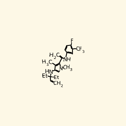 C=CC(CC)(CC)Nc1cn(C)c(C(=C)Nc2ccc(F)c(C(F)(F)F)c2)c1C